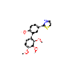 COc1c[c]c(-c2cc(-c3nccs3)ccc2O)c(OC)c1OC